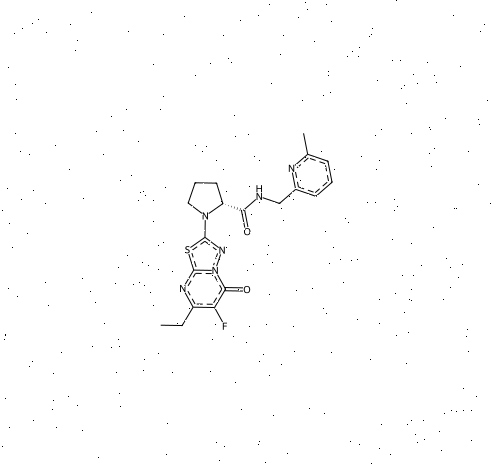 CCc1nc2sc(N3CCC[C@@H]3C(=O)NCc3cccc(C)n3)nn2c(=O)c1F